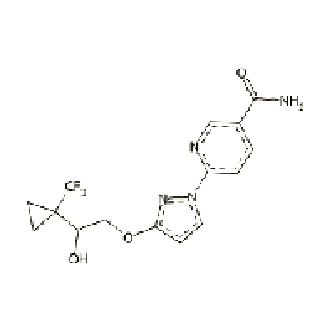 NC(=O)c1ccc(-n2ccc(OCC(O)C3(C(F)(F)F)CC3)n2)nc1